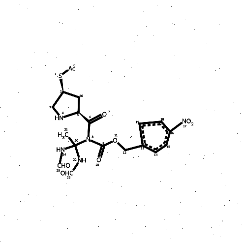 CC(=O)S[C@@H]1CN[C@H](C(=O)N(C(=O)OCc2ccc([N+](=O)[O-])cc2)C(C)(NC=O)NC=O)C1